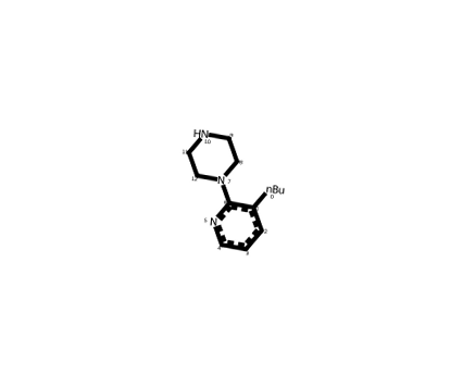 CCCCc1cccnc1N1CCNCC1